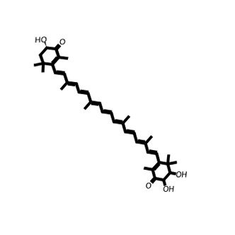 CC1=C(/C=C/C(C)=C/C=C/C(C)=C/C=C/C=C(C)/C=C/C=C(C)/C=C/C2=C(C)C(=O)C(O)C(O)C2(C)C)C(C)(C)C[C@H](O)C1=O